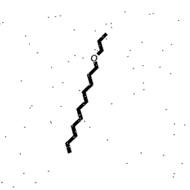 CCCCCCCCCCCOCCC